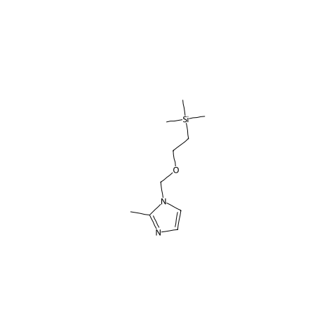 Cc1nccn1COCC[Si](C)(C)C